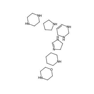 C1=CNCNC1.C1=NCCN1.C1CCNC1.C1CCNCC1.C1CNCCN1.C1COCCN1